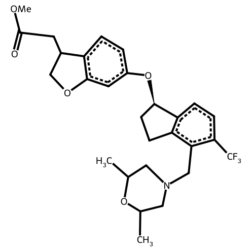 COC(=O)CC1COc2cc(O[C@@H]3CCc4c3ccc(C(F)(F)F)c4CN3CC(C)OC(C)C3)ccc21